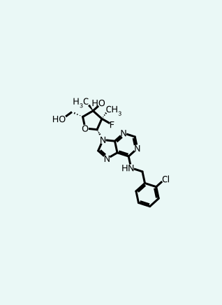 C[C@]1(O)[C@@H](CO)O[C@@H](n2cnc3c(NCc4ccccc4Cl)ncnc32)[C@]1(C)F